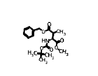 COC(=O)[C@@H](NC(=O)OC(C)(C)C)C(C)C(=O)OCc1ccccc1